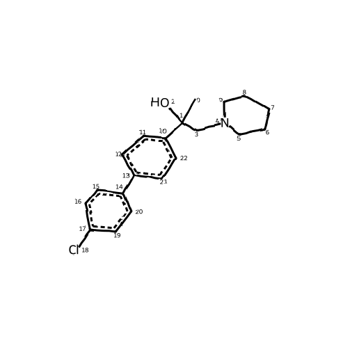 CC(O)(CN1CCCCC1)c1ccc(-c2ccc(Cl)cc2)cc1